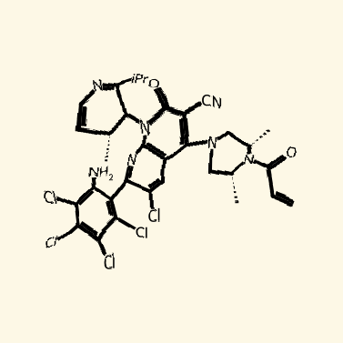 C=CC(=O)N1[C@H](C)CN(c2c(C#N)c(=O)n(C3C(C(C)C)=NC=C[C@H]3C)c3nc(-c4c(N)c(Cl)c(Cl)c(Cl)c4Cl)c(Cl)cc23)C[C@@H]1C